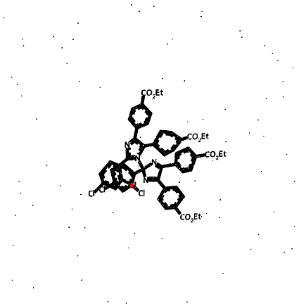 CCOC(=O)c1ccc(C2=NC(c3ccc(Cl)cc3Cl)(n3c(-c4ccc(Cl)cc4Cl)nc(-c4ccc(C(=O)OCC)cc4)c3-c3ccc(C(=O)OCC)cc3)N=C2c2ccc(C(=O)OCC)cc2)cc1